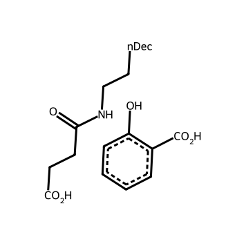 CCCCCCCCCCCCNC(=O)CCC(=O)O.O=C(O)c1ccccc1O